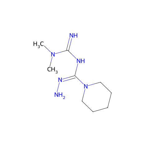 CN(C)C(=N)NC(=NN)N1CCCCC1